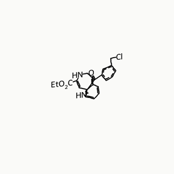 CCOC(=O)C1=CC23C(=CCN1)C=CC=C2NCC3C(=O)c1cccc(CCl)c1